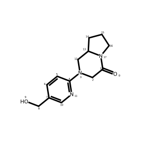 O=C1CN(c2ccc(CO)cn2)CC2CCCN12